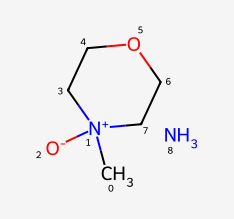 C[N+]1([O-])CCOCC1.N